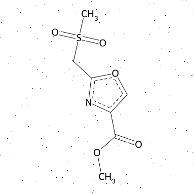 COC(=O)c1coc(CS(C)(=O)=O)n1